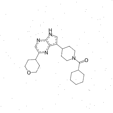 O=C(C1CCCCC1)N1CCC(c2c[nH]c3ncc(C4CCOCC4)nc23)CC1